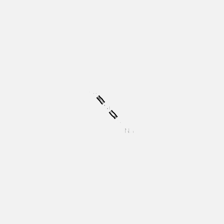 [Na].[S]=[Ni]=[Se]